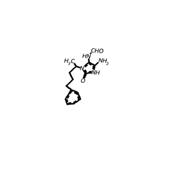 CC(CCCc1ccccc1)n1c(NC=O)c(N)[nH]c1=O